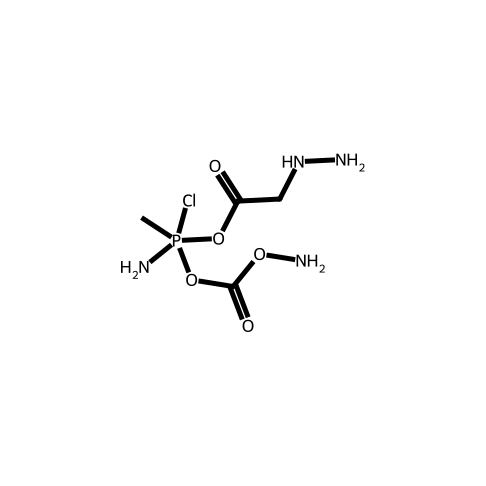 CP(N)(Cl)(OC(=O)CNN)OC(=O)ON